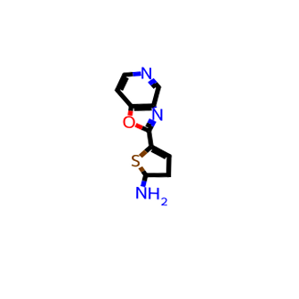 NC1CC=C(c2nc3cnccc3o2)S1